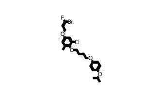 Cc1cc(OCC=C(F)Br)cc(Cl)c1OCCCCOc1ccc(OC(C)C)cc1